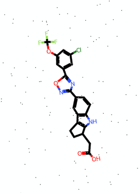 O=C(O)CC1CCc2c1[nH]c1ccc(-c3noc(-c4cc(Cl)cc(OC(F)(F)F)c4)n3)cc21